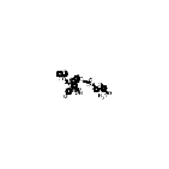 C[C@@H](COc1ccnc2c1[C@H](C)CCC2)C[C@H]1Cc2ccc(OCCCC(=O)NCc3cccc(-c4cc(C(N)=O)ccc4Cl)c3)cc2C12CCC(Nc1cccc(Cl)c1)(C(=O)O)CC2